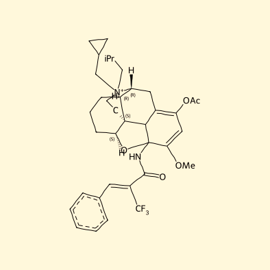 COC1=CC(OC(C)=O)=C2C[C@@H]3[C@@H]4CCC[C@@H]5OC1(NC(=O)C(=Cc1ccccc1)C(F)(F)F)C2[C@@]54CC[N+]3(CC(C)C)CC1CC1